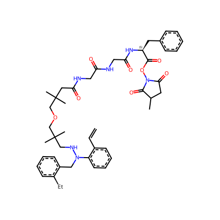 C=Cc1ccccc1N(Cc1ccccc1CC)NCC(C)(C)COCC(C)(C)CC(=O)NCC(=O)NCC(=O)N[C@@H](Cc1ccccc1)C(=O)ON1C(=O)CC(C)C1=O